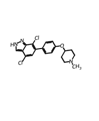 CN1CCC(Oc2ccc(-c3cc(Cl)c4c[nH]nc4c3Cl)cc2)CC1